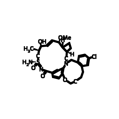 CO[C@H]1/C=C/[C@H](O)[C@H](C)C[S@](N)(=O)=NC(=O)c2ccc3c(c2)N(Cc2ccc(Cl)cc2CCCCO3)C[C@@H]2CC[C@H]21